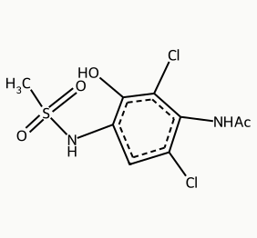 CC(=O)Nc1c(Cl)cc(NS(C)(=O)=O)c(O)c1Cl